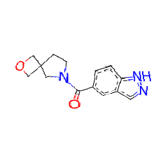 O=C(c1ccc2[nH]ncc2c1)N1CCC2(COC2)C1